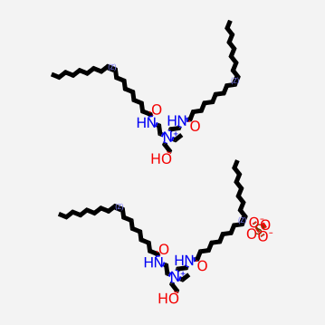 CCCCCCCC/C=C\CCCCCCCC(=O)NCC[N+](CC)(CCO)CCNC(=O)CCCCCCC/C=C\CCCCCCCC.CCCCCCCC/C=C\CCCCCCCC(=O)NCC[N+](CC)(CCO)CCNC(=O)CCCCCCC/C=C\CCCCCCCC.O=S(=O)([O-])[O-]